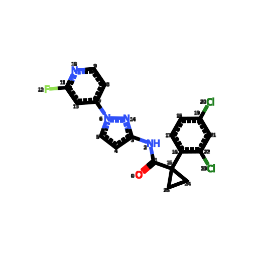 O=C(Nc1ccn(-c2ccnc(F)c2)n1)C1(c2ccc(Cl)cc2Cl)CC1